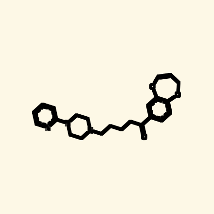 O=C(CCCCN1CCN(c2ccccn2)CC1)c1ccc2c(c1)OC=CCO2